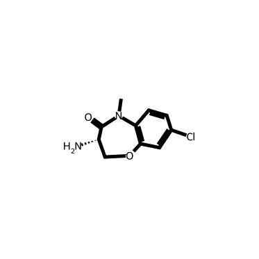 CN1C(=O)[C@@H](N)COc2cc(Cl)ccc21